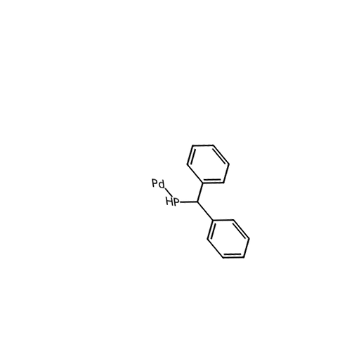 [Pd][PH]C(c1ccccc1)c1ccccc1